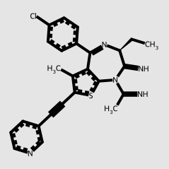 CC[C@@H]1N=C(c2ccc(Cl)cc2)c2c(sc(C#Cc3cccnc3)c2C)N(C(C)=N)C1=N